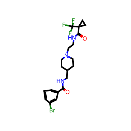 O=C(NCC1CCN(CCNC(=O)C2(C(F)(F)F)CC2)CC1)c1cccc(Br)c1